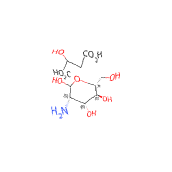 N[C@@H]1C(O)O[C@H](CO)[C@@H](O)[C@@H]1O.O=C(O)CC(O)C(=O)O